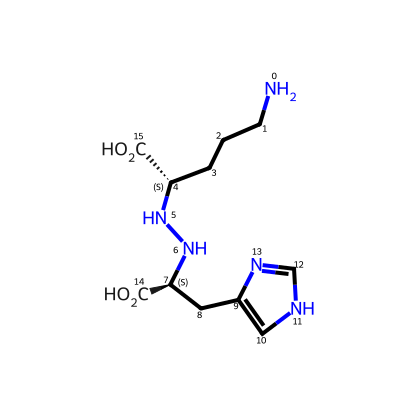 NCCC[C@H](NN[C@@H](Cc1c[nH]cn1)C(=O)O)C(=O)O